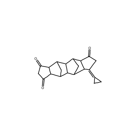 O=C1CC(=O)C2C3CC(C12)C1C2CC(C4C(=C5CC5)CC(=O)C24)C31